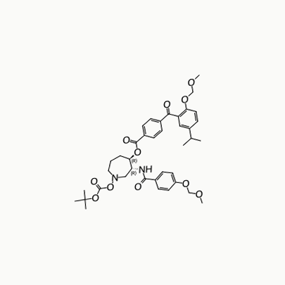 COCOc1ccc(C(=O)N[C@@H]2CN(OC(=O)OC(C)(C)C)CCC[C@H]2OC(=O)c2ccc(C(=O)c3cc(C(C)C)ccc3OCOC)cc2)cc1